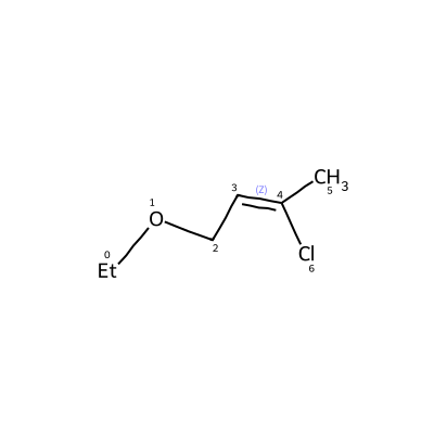 [CH2]COC/C=C(/C)Cl